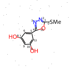 CSc1nnc(-c2cc(O)cc(O)c2)o1